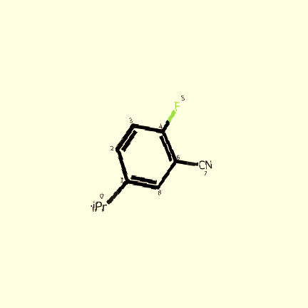 C[C](C)c1ccc(F)c(C#N)c1